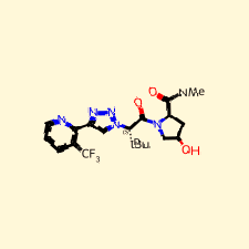 CNC(=O)C1CC(O)CN1C(=O)[C@@H](n1cc(-c2ncccc2C(F)(F)F)nn1)C(C)(C)C